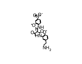 COc1cc([N+](=O)[O-])ccc1NN=C(C(C)=O)C(=O)Nc1cc(CCN)ccc1OC